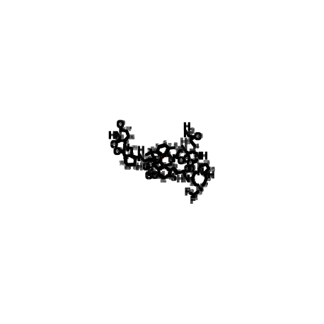 CC(C)(C)c1ccc(C[C@H](NC(=O)[C@H](CCC(N)=O)NC(=O)[C@@H]2CC[C@@H]3CCN(CC(F)F)C[C@H](NC(=O)c4cc5cc(C(F)(F)P(=O)(O)O)ccc5s4)C(=O)N32)C(=O)N2CCC(CCCNc3cccc4c3CN(C3CCC(=O)NC3=O)C4=O)CC2)cc1